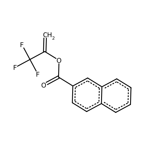 C=C(OC(=O)c1ccc2ccccc2c1)C(F)(F)F